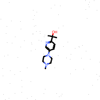 CN1CCN(c2ccc(C(C)(C)O)nc2)CC1